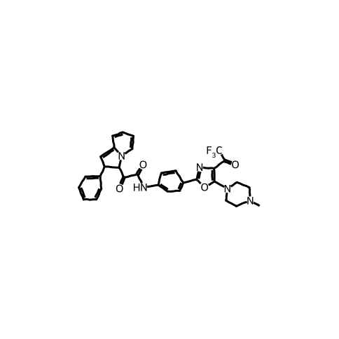 CN1CCN(c2oc(-c3ccc(NC(=O)C(=O)C4C(c5ccccc5)C=C5C=CC=CN54)cc3)nc2C(=O)C(F)(F)F)CC1